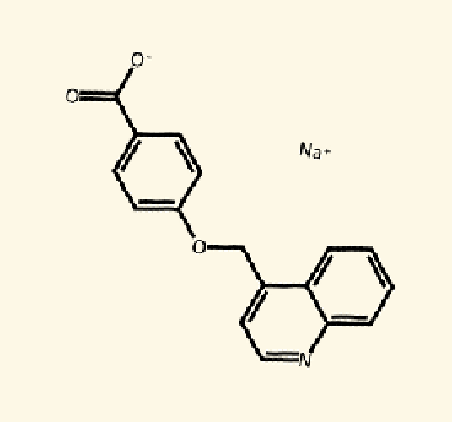 O=C([O-])c1ccc(OCc2ccnc3ccccc23)cc1.[Na+]